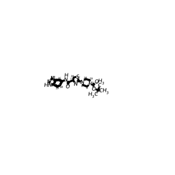 CC(C)(C)OC(=O)N1CCN(C2=NC(C(=O)Nc3ccc4[nH]nnc4c3)CS2)CC1